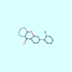 O=c1c2c(oc3cc(-c4ccccc4Br)ccc13)CCCC2